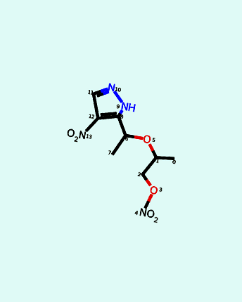 CC(CO[N+](=O)[O-])OC(C)c1[nH]ncc1[N+](=O)[O-]